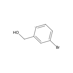 OCc1[c]ccc(Br)c1